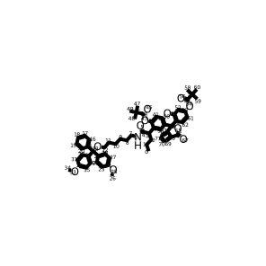 CCCC(C(=O)NCCCCCCOC(c1ccccc1)(c1ccc(OC)cc1)c1ccc(OC)cc1)c1cc2c(cc1OC(=O)C(C)(C)C)Oc1cc(OC(=O)C(C)(C)C)ccc1C21OC(=O)c2ccccc21